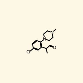 CC(C=O)c1cc(Cl)ccc1N1CCN(C)CC1